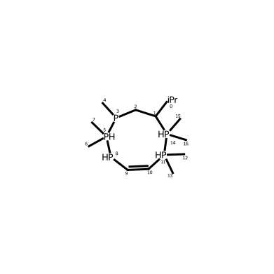 CC(C)C1CP(C)[PH](C)(C)P/C=C\[PH](C)(C)[PH]1(C)C